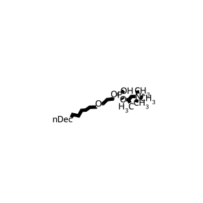 CCCCCCCCCCCCCCCCOCCCOP(O)OC(C)C[N+](C)(C)C